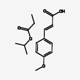 CCC(=O)OC(C)C.COc1ccc(C=CC(=O)O)cc1